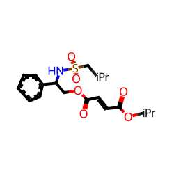 CC(C)CS(=O)(=O)NC(COC(=O)/C=C/C(=O)OC(C)C)c1ccccc1